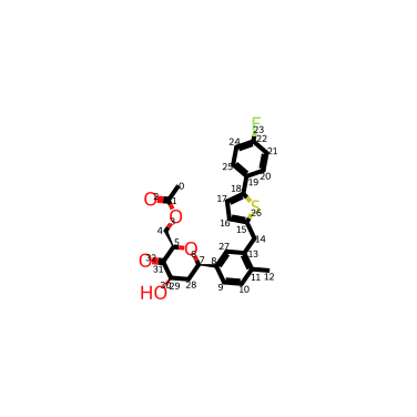 CC(=O)OC[C@H]1O[C@@H](c2ccc(C)c(Cc3ccc(-c4ccc(F)cc4)s3)c2)C[C@@H](O)C1=O